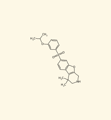 CC(C)Oc1cccc(S(=O)(=O)c2ccc3c4c(oc3c2)CNCC4(C)C)c1